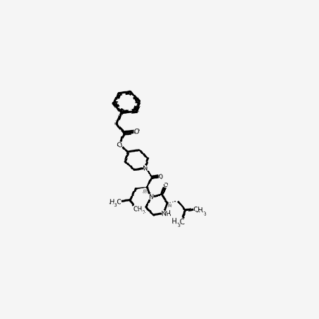 CC(C)C[C@@H]1NCCN([C@@H](CC(C)C)C(=O)N2CCC(OC(=O)Cc3ccccc3)CC2)C1=O